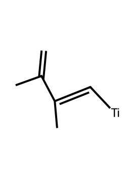 C=C(C)C(C)=[CH][Ti]